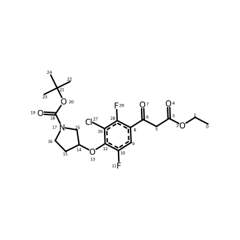 CCOC(=O)CC(=O)c1cc(F)c(OC2CCN(C(=O)OC(C)(C)C)C2)c(Cl)c1F